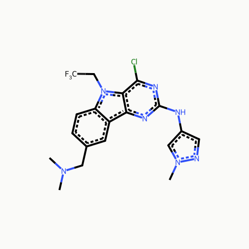 CN(C)Cc1ccc2c(c1)c1nc(Nc3cnn(C)c3)nc(Cl)c1n2CC(F)(F)F